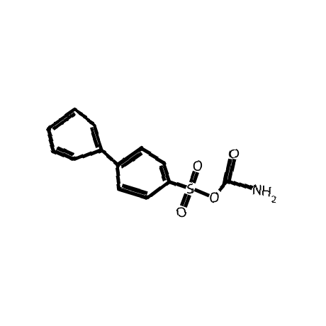 NC(=O)OS(=O)(=O)c1ccc(-c2ccccc2)cc1